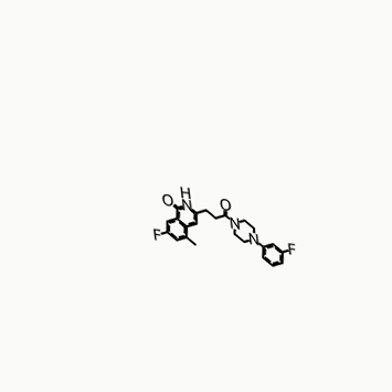 Cc1cc(F)cc2c(=O)[nH]c(CCC(=O)N3CCN(c4cccc(F)c4)CC3)cc12